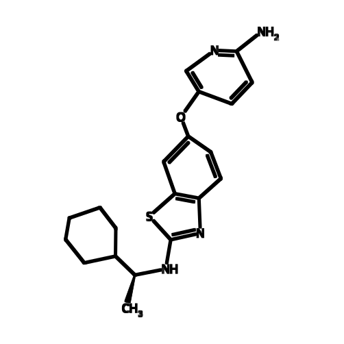 C[C@H](Nc1nc2ccc(Oc3ccc(N)nc3)cc2s1)C1CCCCC1